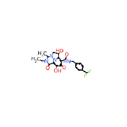 CCN1C(=O)c2c(O)c(=O)c(C(=O)NCc3ccc(C(F)F)cc3)c3n2N(CC3O)C1C